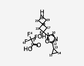 O=C(O)C(F)(F)F.OC1(c2cnc(C3CC3)o2)CC2(CNC2)C1